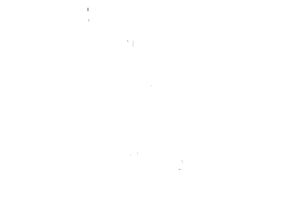 CCOc1cc(CC(N)CC)c(OCC)cc1CC